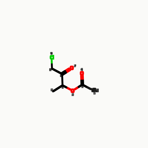 CC(OC(=O)C(C)(C)C)C(=O)CCl